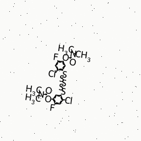 CN(C)C(=O)Oc1cc(SSSSSc2cc(OC(=O)N(C)C)c(F)cc2Cl)c(Cl)cc1F